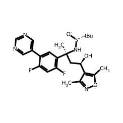 Cc1noc(C)c1[C@H](O)C[C@](C)(N[S@+]([O-])C(C)(C)C)c1cc(-c2cncnc2)c(F)cc1F